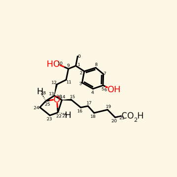 CC(c1ccc(O)cc1)C(O)CC[C@H]1[C@@H](CCCCCCC(=O)O)[C@H]2CC[C@@H]1O2